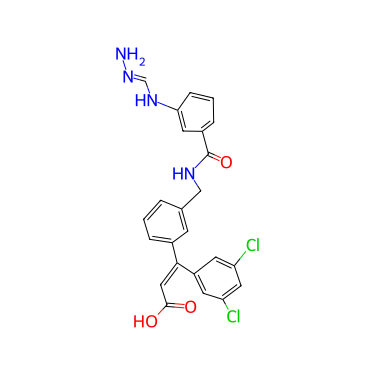 NN=CNc1cccc(C(=O)NCc2cccc(C(=CC(=O)O)c3cc(Cl)cc(Cl)c3)c2)c1